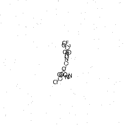 O=S(=O)(c1cccc(OC(F)(F)F)c1)N1CCN(c2ccc(COC3COC(Cn4ccnc4)(c4ccc(Cl)cc4Cl)OC3)cc2)CC1